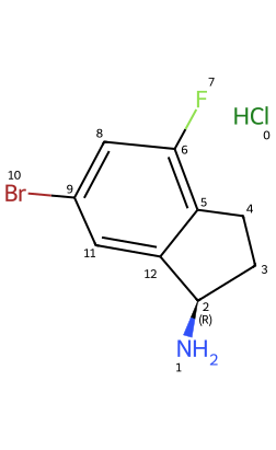 Cl.N[C@@H]1CCc2c(F)cc(Br)cc21